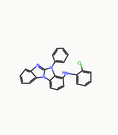 Clc1ccccc1Nc1cccc2c1n(-c1ccccc1)c1nc3ccccc3n21